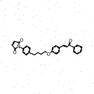 O=C(C=Cc1ccc(OCCCCc2ccc(N3C(=O)C=CC3=O)cc2)cc1)c1ccccc1